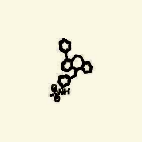 CS(=O)(=O)Nc1cccc(C=C2c3ccccc3CCc3c2cccc3-c2ccccc2)c1